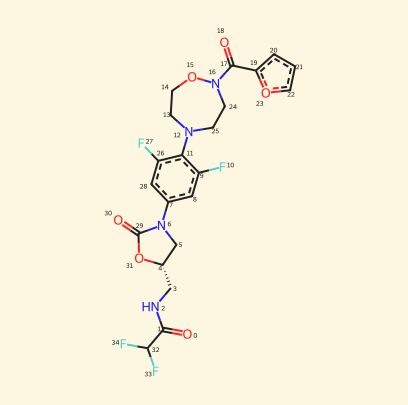 O=C(NC[C@H]1CN(c2cc(F)c(N3CCON(C(=O)c4ccco4)CC3)c(F)c2)C(=O)O1)C(F)F